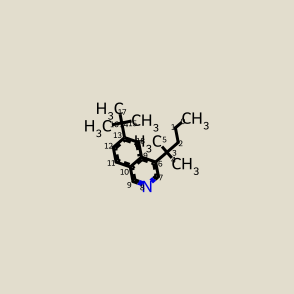 CCCC(C)(C)c1cncc2ccc(C(C)(C)C)cc12